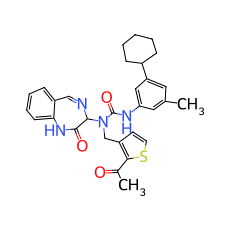 CC(=O)c1sccc1CN(C(=O)Nc1cc(C)cc(C2CCCCC2)c1)C1N=Cc2ccccc2NC1=O